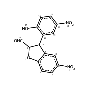 O=CC1Oc2ccc([N+](=O)[O-])cc2C1c1cc([N+](=O)[O-])ccc1O